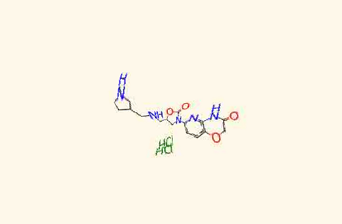 Cl.Cl.O=C1COc2ccc(N3CC(CNCC4CCNC4)OC3=O)nc2N1